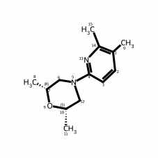 Cc1ccc(N2C[C@@H](C)O[C@@H](C)C2)nc1C